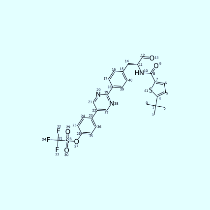 CC(C)(C)c1ccc(C(=O)N[C@H]([C]=O)Cc2ccc(-c3ncc(-c4ccc(OS(=O)(=O)C(F)(F)F)cc4)cn3)cc2)s1